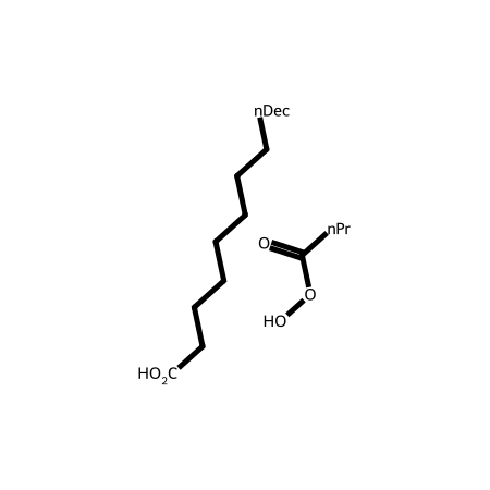 CCCC(=O)OO.CCCCCCCCCCCCCCCCCC(=O)O